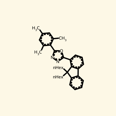 CCCCCCC1(CCCCCC)c2ccccc2-c2cccc(-c3nnc(-c4c(C)cc(C)cc4C)o3)c21